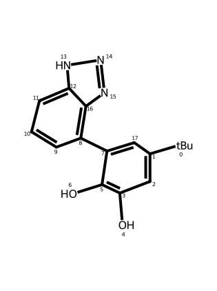 CC(C)(C)c1cc(O)c(O)c(-c2cccc3[nH]nnc23)c1